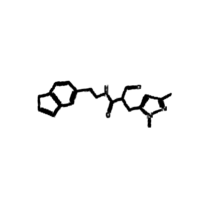 Cc1cc(CC(C=O)C(=O)NCCc2ccc3c(c2)C=CC3)n(C)n1